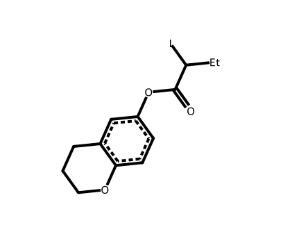 CCC(I)C(=O)Oc1ccc2c(c1)CCCO2